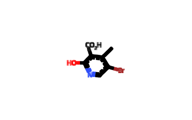 Cc1c(Br)cnc(O)c1C(=O)O